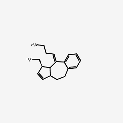 CC[C@@H]1C=CC2CCc3ccccc3/C(=C/CCN)C21